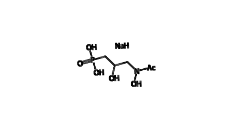 CC(=O)N(O)CC(O)CP(=O)(O)O.[NaH]